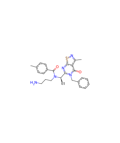 CC[C@H](c1nc2snc(C)c2c(=O)n1Cc1ccccc1)N(CCCN)C(=O)c1ccc(C)cc1